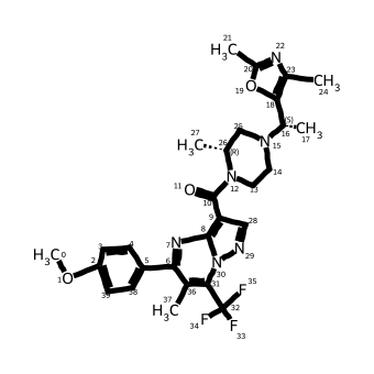 COc1ccc(-c2nc3c(C(=O)N4CCN([C@@H](C)c5oc(C)nc5C)C[C@H]4C)cnn3c(C(F)(F)F)c2C)cc1